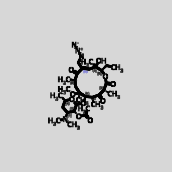 CC[C@H]1OC(=O)[C@H](C)C(=O)[C@H](C)[C@@H](OC2O[C@H](C)C[C@H](N(C)C)[C@H]2OC(C)=O)[C@@](C)(OC)C[C@@H](C)C(=O)/C(CN=[N+]=[N-])=C/[C@]1(C)O